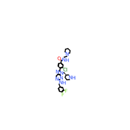 O=C(NCCN1CCCCC1)c1ccc(-c2nc3cnc(NCc4ccc(F)c(F)c4)nc3n2C[C@@H]2CCCNC2)c(Cl)c1